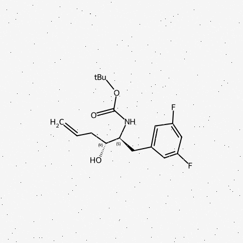 C=CC[C@@H](O)[C@H](Cc1cc(F)cc(F)c1)NC(=O)OC(C)(C)C